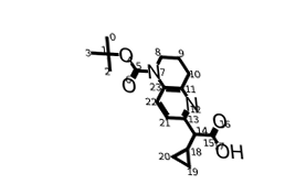 CC(C)(C)OC(=O)N1CCCc2nc(C(C(=O)O)C3CC3)ccc21